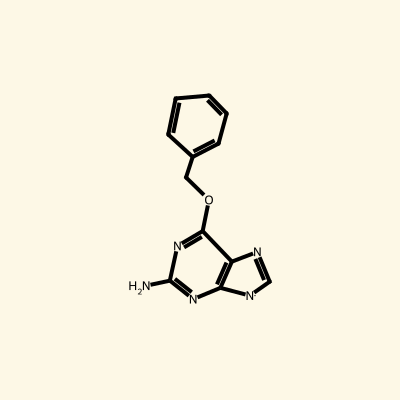 Nc1nc2c(c(OCc3ccccc3)n1)N=C[N]2